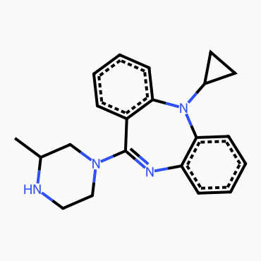 CC1CN(C2=Nc3ccccc3N(C3CC3)c3ccccc32)CCN1